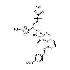 COc1ccc(COC(=O)C2=C(CCl)CS[C@@H]3C(NC(=O)/C(=N\OC(C)(C)C(=O)OC(C)(C)C)c4csc(N)n4)C(=O)N23)cc1